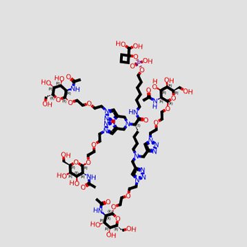 CC(=O)N[C@H]1[C@H](OCCOCCn2cc(CN(CCCC[C@@H](C(=O)NCCCCCCOP(=O)(O)OC3(C(O)O)CCC3)N(Cc3cn(CCOCCO[C@@H]4O[C@H](CO)[C@H](O)[C@H](O)[C@H]4NC(C)=O)nn3)Cc3cn(CCOCCO[C@@H]4O[C@H](CO)[C@H](O)[C@H](O)[C@H]4NC(C)=O)nn3)Cc3cn(CCOCCO[C@@H]4O[C@H](CO)[C@H](O)[C@H](O)[C@H]4NC(C)=O)nn3)nn2)O[C@H](CO)[C@H](O)[C@@H]1O